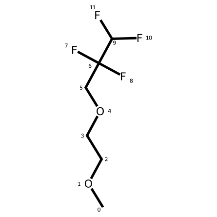 COCCOCC(F)(F)C(F)F